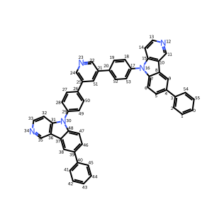 c1ccc(-c2ccc3c(c2)c2cnccc2n3-c2ccc(-c3cncc(-c4ccc(-n5c6ccncc6c6cc(-c7ccccc7)ccc65)cc4)c3)cc2)cc1